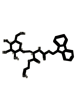 C=CCOC(=O)[C@H](CO[C@@H]1OC(COC(C)=O)[C@@H](O)C(O)[C@@H]1C)NC(=O)OCC1c2ccccc2-c2ccccc21